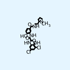 CN1CCCC1CCNC(=O)c1ccc(O)c(NC(=O)C(=O)Nc2cc(Cl)cc(Cl)c2O)c1